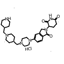 Cl.O=C1CCC(N2Cc3cc(N4CCN(CC5CCN(CC6CCNCC6)CC5)CC4)ccc3C2=O)C(=O)N1